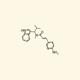 CC(C)C(c1c[nH]c2ccccc12)N(C)C(=O)/C=C/c1ccc(N)nc1